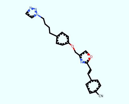 N#Cc1ccc(C=Cc2nc(COc3ccc(CCCCn4ccnn4)cc3)co2)cc1